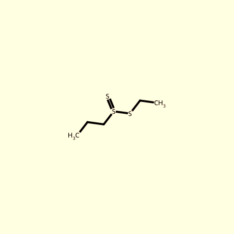 CCCS(=S)SCC